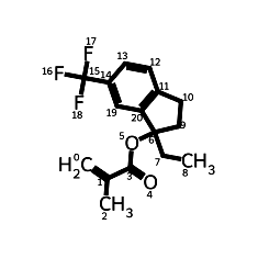 C=C(C)C(=O)OC1(CC)CCc2ccc(C(F)(F)F)cc21